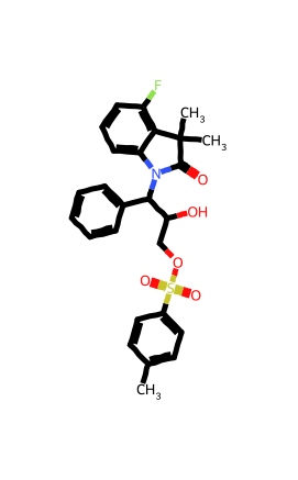 Cc1ccc(S(=O)(=O)OCC(O)C(c2ccccc2)N2C(=O)C(C)(C)c3c(F)cccc32)cc1